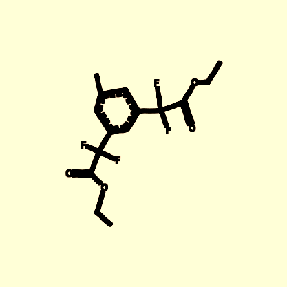 CCOC(=O)C(F)(F)c1cc(C)cc(C(F)(F)C(=O)OCC)c1